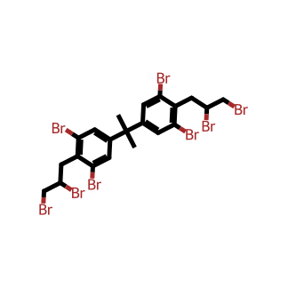 CC(C)(c1cc(Br)c(CC(Br)CBr)c(Br)c1)c1cc(Br)c(CC(Br)CBr)c(Br)c1